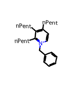 CCCCCc1cc[n+](Cc2ccccc2)c(CCCCC)c1CCCCC